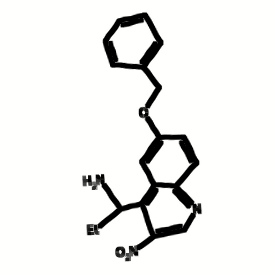 CCC(N)c1c([N+](=O)[O-])cnc2ccc(OCc3ccccc3)cc12